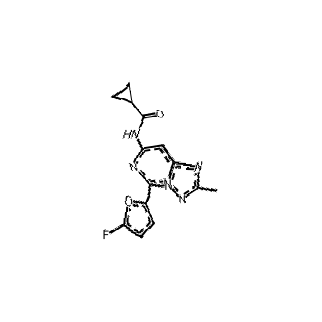 Cc1nc2cc(NC(=O)C3CC3)nc(-c3ccc(F)o3)n2n1